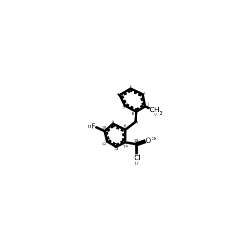 Cc1ccccc1Cc1cc(F)ccc1C(=O)Cl